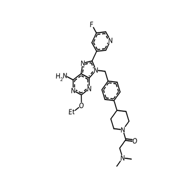 CCOc1nc(N)c2nc(-c3cncc(F)c3)n(Cc3ccc(C4CCN(C(=O)CN(C)C)CC4)cc3)c2n1